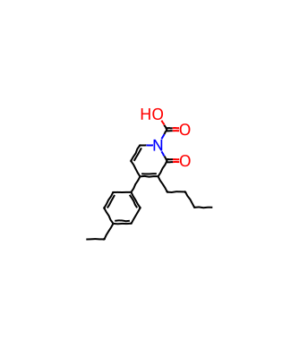 CCCCc1c(-c2ccc(CC)cc2)ccn(C(=O)O)c1=O